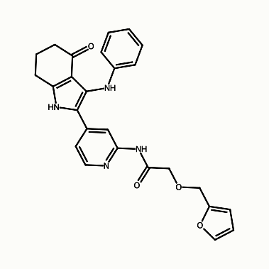 O=C(COCc1ccco1)Nc1cc(-c2[nH]c3c(c2Nc2ccccc2)C(=O)CCC3)ccn1